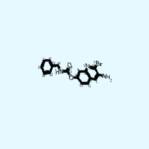 Nc1cc2c(nc1Br)CC(OC(=O)NCc1ccccc1)CC2